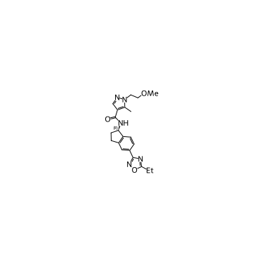 CCc1nc(-c2ccc3c(c2)CC[C@H]3NC(=O)c2cnn(CCOC)c2C)no1